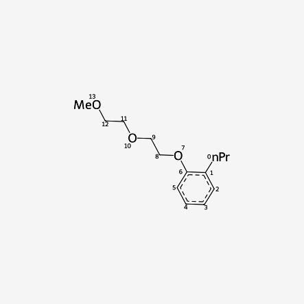 CCCc1ccccc1OCCOCCOC